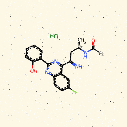 CCC(=O)N[C@H](C)CC(=N)c1nc(-c2ccccc2O)nc2ccc(F)cc12.Cl